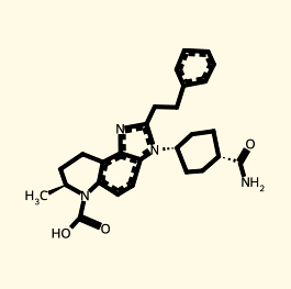 C[C@H]1CCc2c(ccc3c2nc(CCc2ccccc2)n3[C@H]2CC[C@@H](C(N)=O)CC2)N1C(=O)O